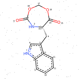 O=C1N[C@@H](Cc2c[nH]c3ccccc23)C(=O)OCO1